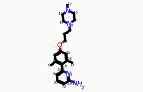 Cc1cc(OCCCN2CCN(C)CC2)cc(C)c1-c1cccc(N)n1